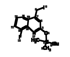 CC(C)(C)[Si](C)(C)Oc1cc(CI)c2cccc(F)c2n1